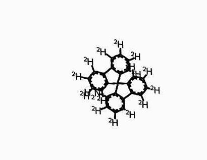 [2H]c1c([2H])c([2H])c2c(c1[2H])-c1c([2H])c([2H])c([2H])c([2H])c1C21c2c([2H])c([2H])c([2H])c([2H])c2-c2c([2H])c([2H])c([2H])c(N)c21